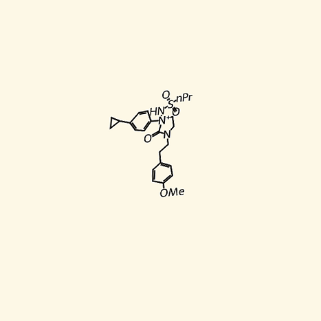 CCCS(=O)(=O)N[N+]1(c2ccc(C3CC3)cc2)CCN(CCc2ccc(OC)cc2)C1=O